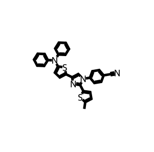 Cc1ccc(-c2nc(-c3ccc(N(c4ccccc4)c4ccccc4)s3)cn2-c2ccc(C#N)cc2)s1